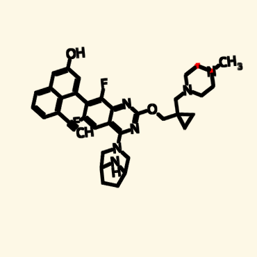 C#Cc1cccc2cc(O)cc(-c3c(F)cc4c(N5CC6CCC(C5)N6)nc(OCC5(CN6CC7CCC6CN7C)CC5)nc4c3F)c12